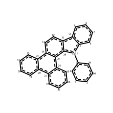 c1ccc(-n2c3ccccc3c3ccc4c5ccccc5c5ccccc5c4c32)cc1